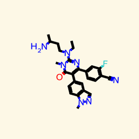 CCN(CCC(C)N)c1nc(-c2ccc(C#N)c(F)c2)c(-c2ccc3c(cnn3C)c2)c(=O)n1C